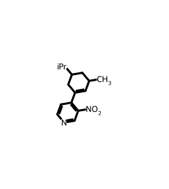 CC1C=C(c2ccncc2[N+](=O)[O-])CC(C(C)C)C1